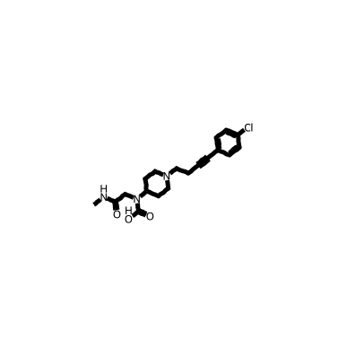 CNC(=O)CN(C(=O)O)C1CCN(CCC#Cc2ccc(Cl)cc2)CC1